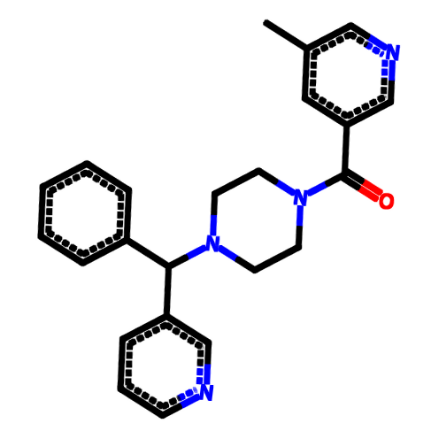 Cc1cncc(C(=O)N2CCN(C(c3ccccc3)c3cccnc3)CC2)c1